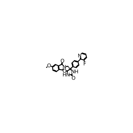 COc1ccc2c(c1)C(=O)N(C[C@@]1(c3ccc(-c4ncccc4F)cc3)NC(=O)NC1=O)C2